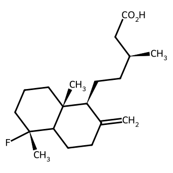 C=C1CCC2[C@](C)(CCC[C@@]2(C)F)[C@H]1CC[C@H](C)CC(=O)O